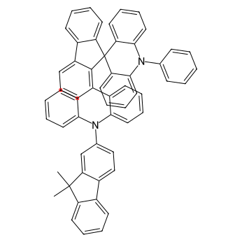 CC1(C)c2ccccc2-c2ccc(N(c3ccccc3)c3ccccc3-c3cccc4c3C3(c5ccccc5-4)c4ccccc4N(c4ccccc4)c4ccccc43)cc21